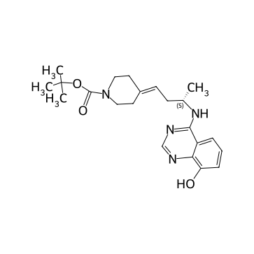 C[C@@H](CC=C1CCN(C(=O)OC(C)(C)C)CC1)Nc1ncnc2c(O)cccc12